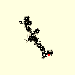 CC1(C)CCC(CN2CCN(c3ccc(C(=O)NS(=O)(=O)c4ccc(N[C@H](CCN5CCN(CCO[Si](c6ccccc6)(c6ccccc6)C(C)(C)C)CC5)CSc5ccccc5)c(S(=O)(=O)C(F)(F)F)c4)cc3)CC2)=C(C23CC(C(F)F)(C2)C3)C1